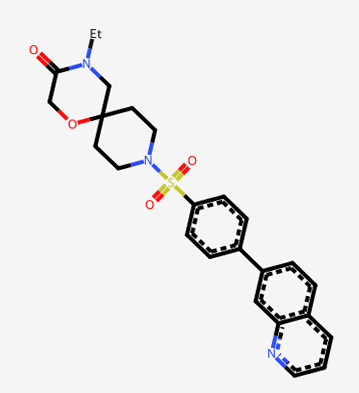 CCN1CC2(CCN(S(=O)(=O)c3ccc(-c4ccc5cccnc5c4)cc3)CC2)OCC1=O